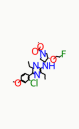 CCc1nc(-c2ccc(OC)cc2Cl)c(CC)nc1N[C@@H]1CN(C(=O)OC)C[C@@H]1OCCF